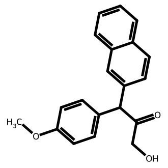 COc1ccc(C(C(=O)CO)c2ccc3ccccc3c2)cc1